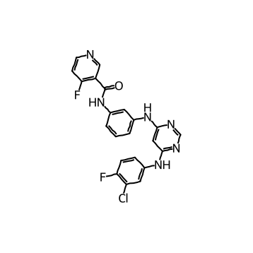 O=C(Nc1cccc(Nc2cc(Nc3ccc(F)c(Cl)c3)ncn2)c1)c1cnccc1F